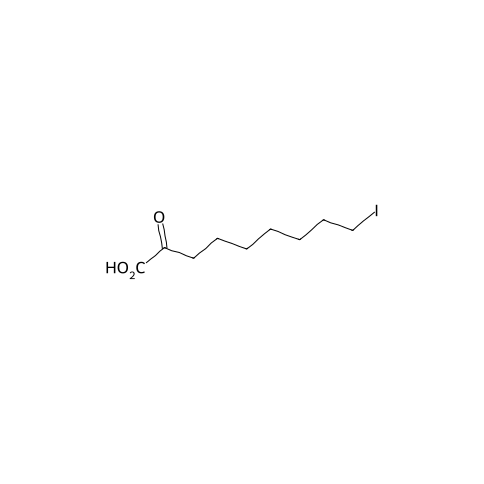 O=C(O)C(=O)CCCCCCCI